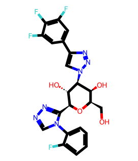 OC[C@H]1O[C@@H](c2nncn2-c2ccccc2F)[C@H](O)[C@@H](n2cc(-c3cc(F)c(F)c(F)c3)nn2)[C@H]1O